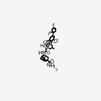 CC1CN(CC(=O)NC2C3CC4CC2CC(C(N)=O)(C4)C3)S(O)(O)N(c2c(Cl)cc(-c3ccc(F)cc3F)cc2Cl)C1